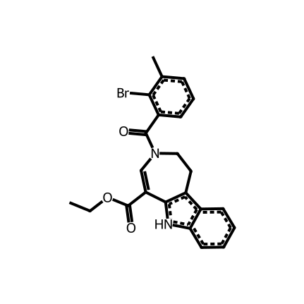 CCOC(=O)C1=CN(C(=O)c2cccc(C)c2Br)CCc2c1[nH]c1ccccc21